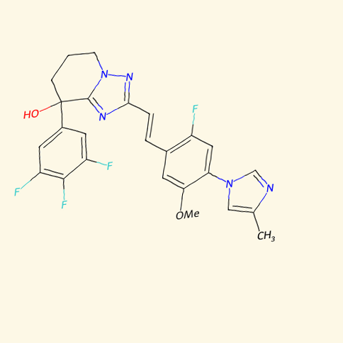 COc1cc(C=Cc2nc3n(n2)CCCC3(O)c2cc(F)c(F)c(F)c2)c(F)cc1-n1cnc(C)c1